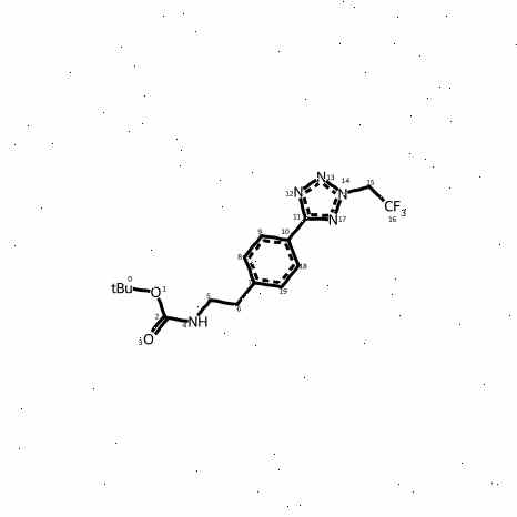 CC(C)(C)OC(=O)NCCc1ccc(-c2nnn(CC(F)(F)F)n2)cc1